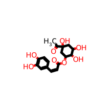 CC(=O)C1(O)CC(O)C(O)C(OC(=O)/C=C\c2ccc(O)c(O)c2)C1